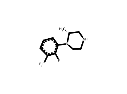 C[C@@H]1CNCCN1c1cccc(C(F)(F)F)c1F